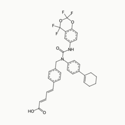 O=C(O)C=CC=Cc1ccc(CN(C(=O)Nc2ccc3c(c2)C(F)(F)OC(F)(F)O3)c2ccc(C3=CCCCC3)cc2)cc1